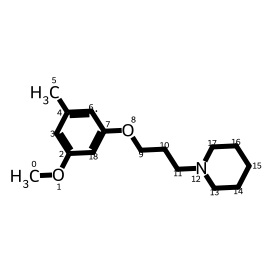 COc1cc(C)[c]c(OCCCN2CCCCC2)c1